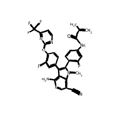 C=C(C)C(=O)Nc1ccc(-c2c(-c3ccc(Oc4nccc(C(F)(F)F)n4)c(F)c3)c3c(N)ncc(C#N)c3n2C)c(F)c1